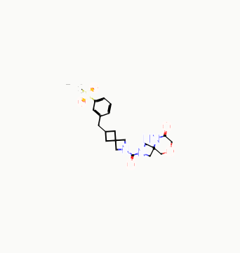 O=C1COCC2(CN(C(=O)N3CC4(CC(Cc5cccc(S(=O)(=O)C(F)(F)F)c5)C4)C3)C2)N1